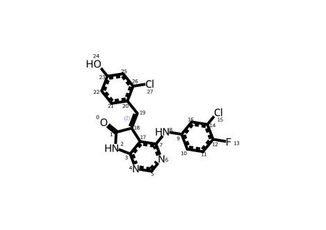 O=C1Nc2ncnc(Nc3ccc(F)c(Cl)c3)c2/C1=C/c1ccc(O)cc1Cl